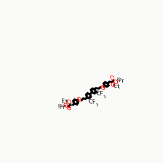 CCOC(Cc1ccc(OCCCc2ccc(-c3ccc(CCCOc4ccc(C[C@H](OCC)C(=O)OC(C)C)cc4)c(C(F)(F)F)c3)cc2C(F)(F)F)cc1)C(=O)OC(C)C